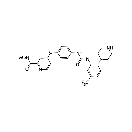 CNC(=O)c1cc(Oc2ccc(NC(=O)Nc3cc(C(F)(F)F)ccc3N3CCNCC3)cc2)ccn1